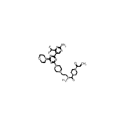 C=CC(=O)N1CCC(C(=O)N(C)CCN2CCN(c3nc(-c4cnc(N)nc4C(F)F)nc(N4CCOCC4)n3)CC2)CC1